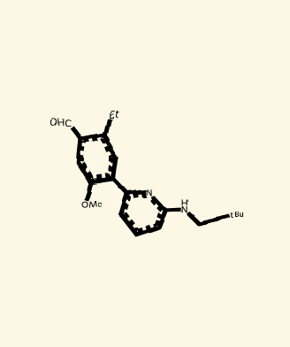 CCc1cc(-c2cccc(NCC(C)(C)C)n2)c(OC)cc1C=O